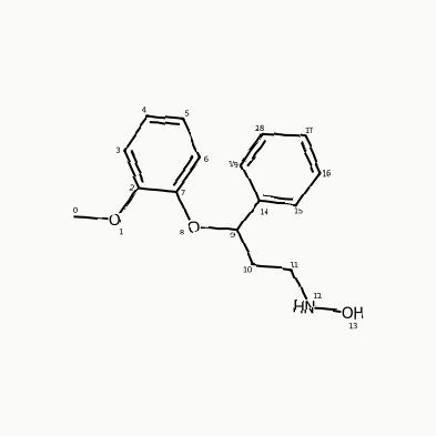 COc1ccccc1OC(CCNO)c1ccccc1